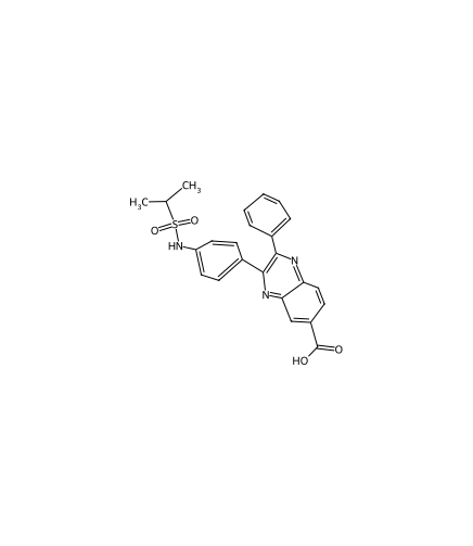 CC(C)S(=O)(=O)Nc1ccc(-c2nc3cc(C(=O)O)ccc3nc2-c2ccccc2)cc1